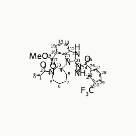 C=CC(=O)N1CCCCC(N2c3c(cccc3C(=O)OC)NC2N(N)C(=O)c2cccc(C(F)(F)F)c2)C1